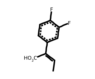 CC=C(C(=O)O)c1ccc(F)c(F)c1